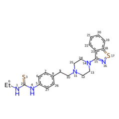 CCNC(=S)Nc1ccc(CCN2CCN(c3nsc4ccccc34)CC2)cc1